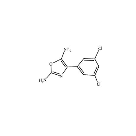 Nc1nc(-c2cc(Cl)cc(Cl)c2)c(N)o1